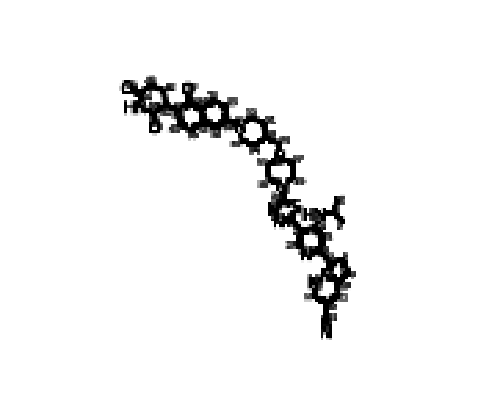 CC(C)Nc1cc(-c2ccc3cc(C#N)cnn23)ncc1-c1nnc(N2CCN(CC3CCN(c4ccc5c(=O)n(C6CCC(=O)NC6=O)ccc5c4)CC3)CC2)s1